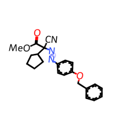 COC(=O)C(C#N)(/N=N/c1ccc(OCc2ccccc2)cc1)C1CCCC1